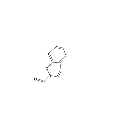 O=CN1C=Cc2ccccc2O1